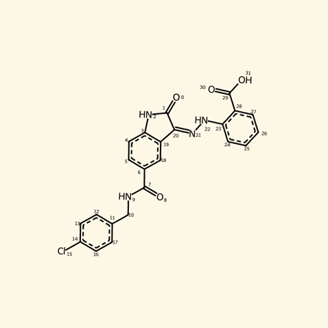 O=C1Nc2ccc(C(=O)NCc3ccc(Cl)cc3)cc2/C1=N/Nc1ccccc1C(=O)O